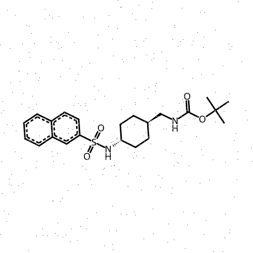 CC(C)(C)OC(=O)NC[C@H]1CC[C@H](NS(=O)(=O)c2ccc3ccccc3c2)CC1